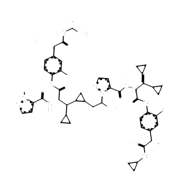 CC(C)n1nccc1C(=O)N[C@H](C(=O)Nc1ccc([C@H](C)C(=O)N[C@@H](C)C(F)(F)F)cc1F)C(C1CC1)C1CC1CC(C)n1nccc1C(=O)N[C@H](C(=O)Nc1ccc([C@H](C)C(=O)NC2CC2)cc1F)C(=C1CC1)C1CC1